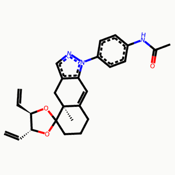 C=C[C@H]1OC2(CCCC3=Cc4c(cnn4-c4ccc(NC(C)=O)cc4)C[C@@]32C)O[C@@H]1C=C